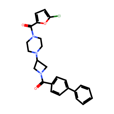 O=C(c1ccc(-c2ccccc2)cc1)N1CC(N2CCN(C(=O)c3ccc(Cl)o3)CC2)C1